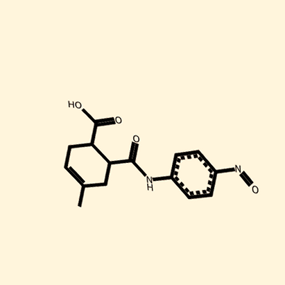 CC1=CCC(C(=O)O)C(C(=O)Nc2ccc(N=O)cc2)C1